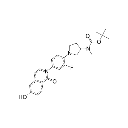 CN(C(=O)OC(C)(C)C)C1CCN(c2ccc(-n3ccc4cc(O)ccc4c3=O)cc2F)C1